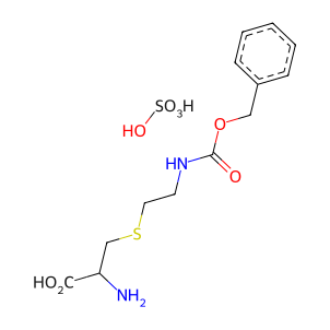 NC(CSCCNC(=O)OCc1ccccc1)C(=O)O.O=S(=O)(O)O